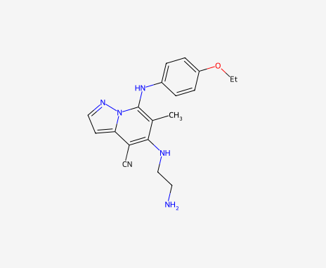 CCOc1ccc(Nc2c(C)c(NCCN)c(C#N)c3ccnn23)cc1